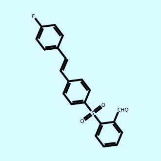 O=Cc1ccccc1S(=O)(=O)c1ccc(C=Cc2ccc(F)cc2)cc1